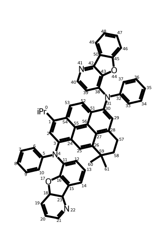 CC(C)c1cc(N(c2ccccc2)c2cccc3c2OC2C=CC=NC32)c2cc3c4c(cc(N(c5ccccc5)c5ccnc6c5oc5ccccc56)c5ccc1c2c54)CCC3(C)C